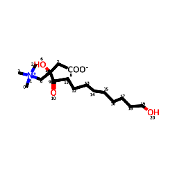 C[N+](C)(C)CC(O)(CC(=O)[O-])C(=O)CCCCCCCCCO